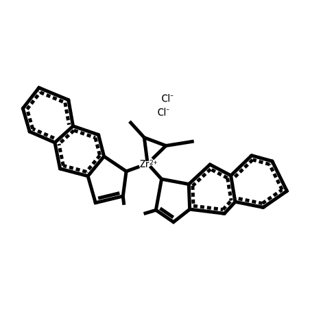 CC1=Cc2cc3ccccc3cc2[CH]1[Zr+2]1([CH]2C(C)=Cc3cc4ccccc4cc32)[CH](C)[CH]1C.[Cl-].[Cl-]